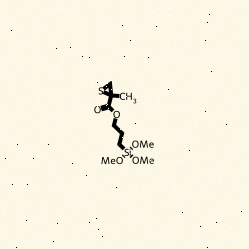 CO[Si](CCCOC(=O)C1(C)CS1)(OC)OC